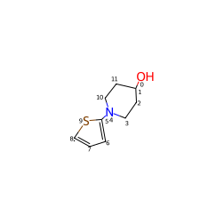 OC1CCN(c2cc[c]s2)CC1